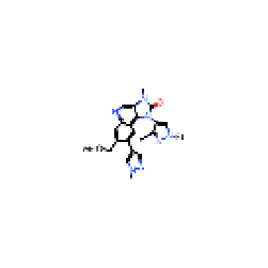 CCn1cc(-n2c(=O)n(C)c3cnc4cc(COC)c(-c5cnn(C)c5)cc4c32)c(C)n1